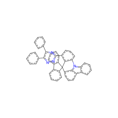 c1ccc(-c2nnc(-c3cccc4c3C3(c5ccccc5-c5ccccc53)c3cccc5c6ccccc6n-4c35)nc2-c2ccccc2)cc1